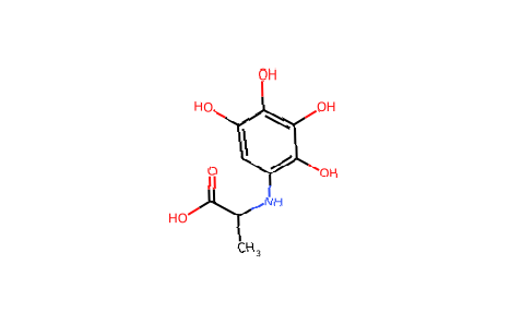 CC(Nc1cc(O)c(O)c(O)c1O)C(=O)O